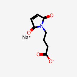 O=C([O-])CCCN1C(=O)C=CC1=O.[Na+]